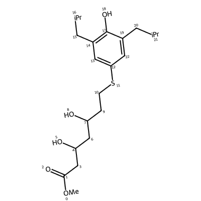 COC(=O)CC(O)CC(O)CCSc1cc(CC(C)C)c(O)c(CC(C)C)c1